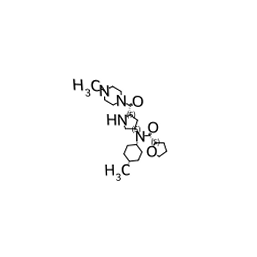 CN1CCN(C(=O)[C@@H]2C[C@H](N(C(=O)[C@@H]3CCCO3)[C@H]3CC[C@@H](C)CC3)CN2)CC1